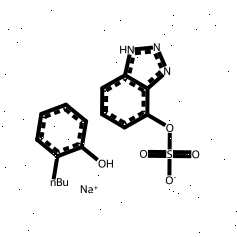 CCCCc1ccccc1O.O=S(=O)([O-])Oc1cccc2[nH]nnc12.[Na+]